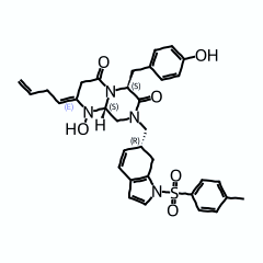 C=CC/C=C1\CC(=O)N2[C@H](CN(C[C@H]3C=Cc4ccn(S(=O)(=O)c5ccc(C)cc5)c4C3)C(=O)[C@@H]2Cc2ccc(O)cc2)N1O